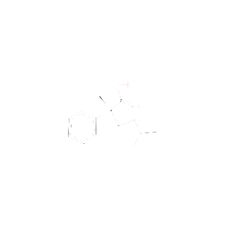 CC(C)CC[C@@](C)(C(=O)O)c1ccccc1